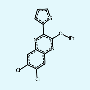 CC(C)Oc1nc2cc(Cl)c(Cl)cc2nc1-c1cccs1